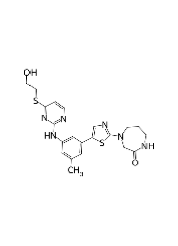 Cc1cc(Nc2nccc(SCCO)n2)cc(-c2cnc(N3CCCNC(=O)C3)s2)c1